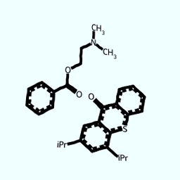 CC(C)c1cc(C(C)C)c2sc3ccccc3c(=O)c2c1.CN(C)CCOC(=O)c1ccccc1